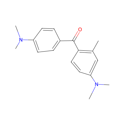 Cc1cc(N(C)C)ccc1C(=O)c1ccc(N(C)C)cc1